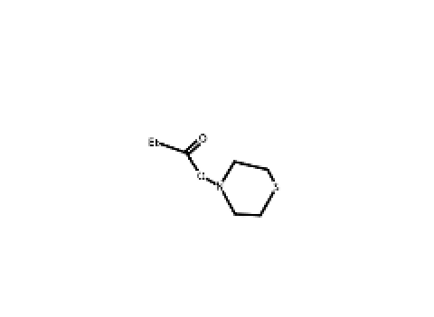 CCC(=O)ON1CCSCC1